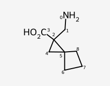 NCC1(C(=O)O)CC12CCC2